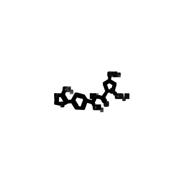 CO[C@@H]1C[C@H](C(=O)N[C@@H](C)c2ccc(-c3scnc3C)cc2)N(C(=O)O)C1